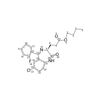 CCCCOC(=O)CC[C@@H]1N=C(c2ccccc2F)c2cc(Cl)ccc2NC1=O